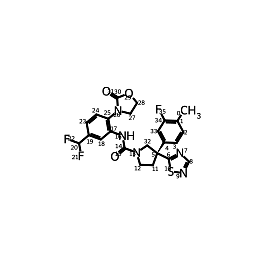 Cc1ccc([C@@]2(c3ncns3)CCN(C(=O)Nc3cc(C(F)F)ccc3N3CCOC3=O)C2)cc1F